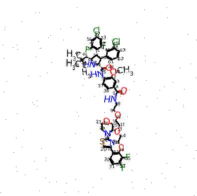 COc1cc(C(=O)NCCOCCOCCOc2c(-c3csc(N4CCOCC4)n3)ccc(F)c2F)ccc1NC(=O)[C@@H]1N[C@@H](CC(C)(C)C)[C@H](c2ccc(Cl)cc2F)[C@H]1c1cccc(Cl)c1F